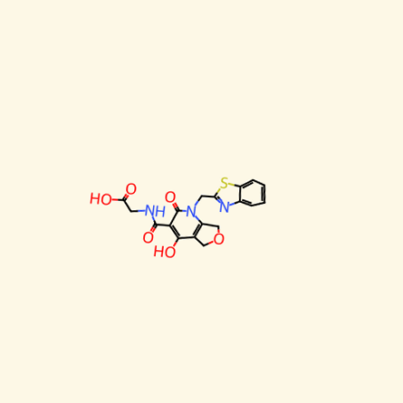 O=C(O)CNC(=O)c1c(O)c2c(n(Cc3nc4ccccc4s3)c1=O)COC2